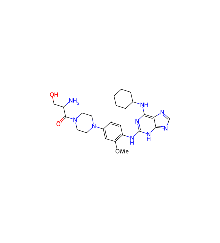 COc1cc(N2CCN(C(=O)C(N)CO)CC2)ccc1Nc1nc(NC2CCCCC2)c2ncnc-2[nH]1